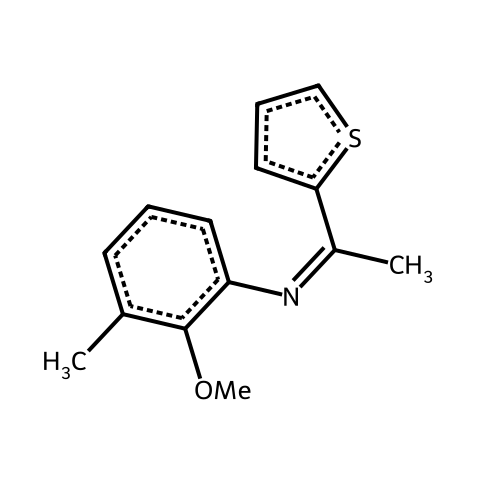 COc1c(C)cccc1N=C(C)c1cccs1